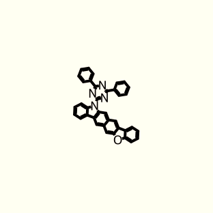 c1ccc(-c2nc(-c3ccccc3)nc(-n3c4ccccc4c4cc5cc6oc7ccccc7c6cc5cc43)n2)cc1